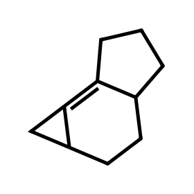 C1CC2=C3CC3CCC2C1